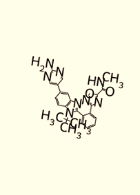 CNC(=O)c1nc(-c2ccccc2-c2nc3cc(-c4cnc(N)nc4)ccc3n2C(C)(C)C)no1